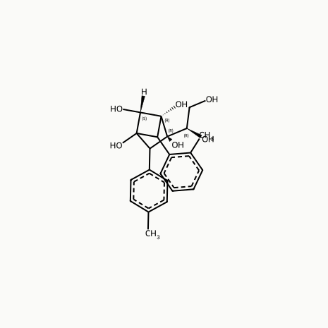 Cc1ccc(C2C3(O)C(c4ccccc4C)[C@@](O)([C@H]3O)[C@]2(O)[C@H](O)CO)cc1